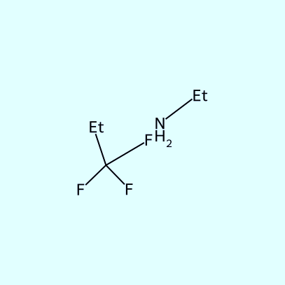 CCC(F)(F)F.CCN